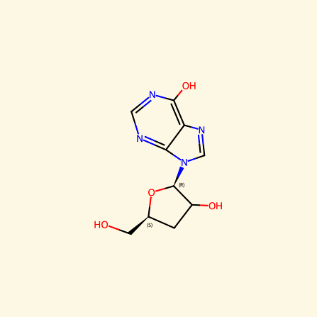 OC[C@@H]1CC(O)[C@H](n2cnc3c(O)ncnc32)O1